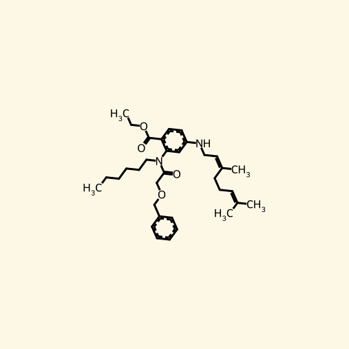 CCCCCCN(C(=O)COCc1ccccc1)c1cc(NCC=C(C)CCC=C(C)C)ccc1C(=O)OCC